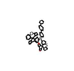 c1ccc(-c2ccc(-c3ccc(N(c4ccc5c(c4)C4(c6ccccc6S5)c5ccccc5-c5ccccc54)c4ccc5c(c4)C4(c6ccccc6Oc6ccccc64)c4ccccc4-5)cc3)cc2)cc1